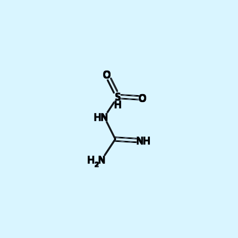 N=C(N)N[SH](=O)=O